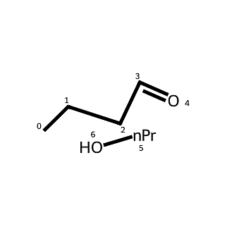 CCCC=O.CCCO